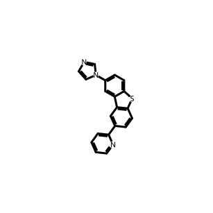 c1ccc(-c2ccc3sc4ccc(-n5ccnc5)cc4c3c2)nc1